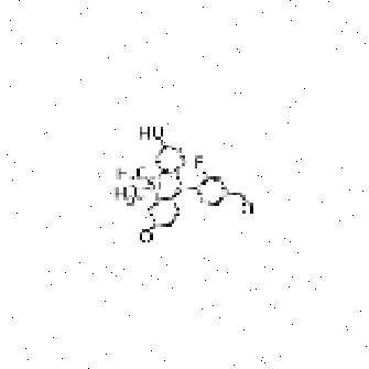 C[Si]1(C)C2=CC(=O)C=CC2=C(c2ccc(C=O)cc2F)c2ccc(O)cc21